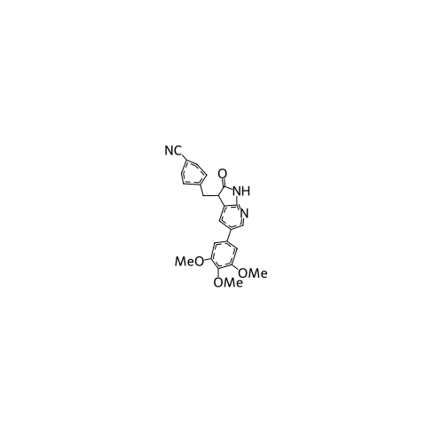 COc1cc(-c2cnc3c(c2)C(Cc2ccc(C#N)cc2)C(=O)N3)cc(OC)c1OC